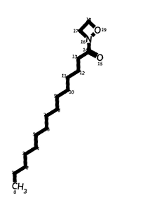 CCCCCCCCCCCCCCC(=O)N1CCO1